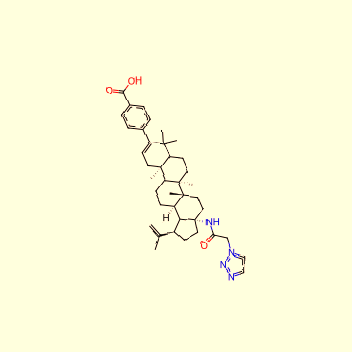 C=C(C)[C@@H]1CC[C@]2(NC(=O)Cn3ccnn3)CC[C@]3(C)[C@H](CCC4[C@@]5(C)CC=C(c6ccc(C(=O)O)cc6)C(C)(C)C5CC[C@]43C)C12